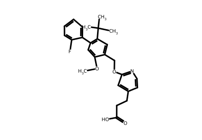 COc1cc(-c2ccccc2F)c(C(C)(C)C)cc1COc1cc(CCC(=O)O)ccn1